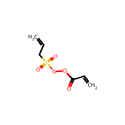 C=CCS(=O)(=O)OOC(=O)C=C